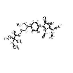 [C-]#[N+]C([N+]#[C-])=C1NC(=O)C(c2ccc(N(CC)CCOC(=O)C(C)(C)CC)cc2)=C1C#N